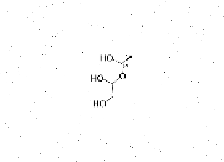 C[C@H](O)OC(O)CO